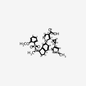 COc1ccccc1S(=O)(=O)N(C)C1CCc2ccc(-n3ncc(C(=O)O)c3[C@@H]3C[C@H]3c3cn(C)nn3)cc21